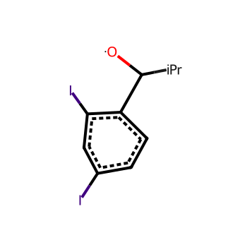 CC(C)C([O])c1ccc(I)cc1I